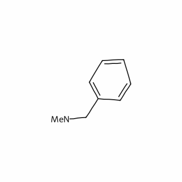 [CH2-][NH2+]Cc1ccccc1